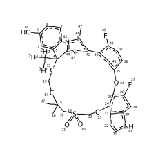 [2H]C([2H])([2H])C1(c2cccc(O)c2)CCCC(C)(C)CS(=O)(=O)CCc2c(c(F)cc3[nH]ccc23)Oc2ccc(F)c(c2)-c2nc1nn2C